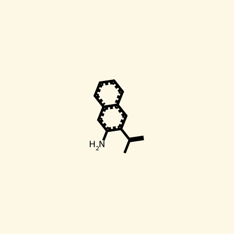 C=C(C)c1cc2ccccc2cc1N